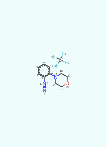 F[B-](F)(F)F.N#[N+]c1ccccc1N1CCOCC1